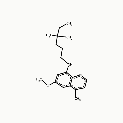 CCC(C)(C)CCCNc1cc(OC)cc2c(C)ccnc12